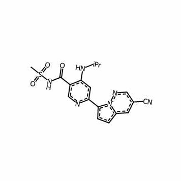 CC(C)Nc1cc(-c2ccc3cc(C#N)cnn23)ncc1C(=O)NS(C)(=O)=O